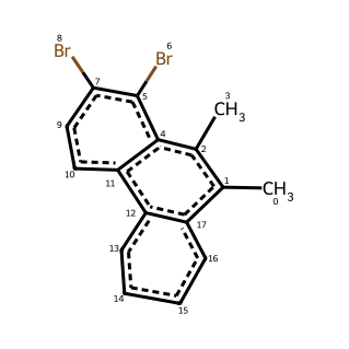 Cc1c(C)c2c(Br)c(Br)ccc2c2ccccc12